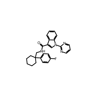 O=C(NCC1(c2ccc(F)cc2)CCCCC1)c1cn(-c2ncccn2)c2ccccc12